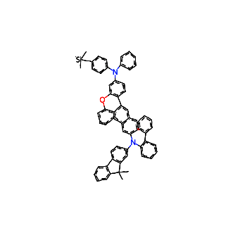 CC1(C)c2ccccc2-c2ccc(N(c3ccc4cc5c6c(cccc6c4c3)Oc3cc(N(c4ccccc4)c4ccc([Si](C)(C)C)cc4)ccc3-5)c3ccccc3-c3ccccc3)cc21